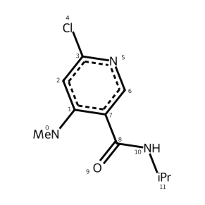 CNc1cc(Cl)ncc1C(=O)NC(C)C